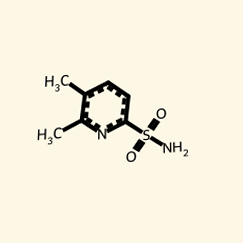 Cc1ccc(S(N)(=O)=O)nc1C